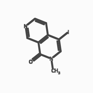 Cn1cc(I)c2ccncc2c1=O